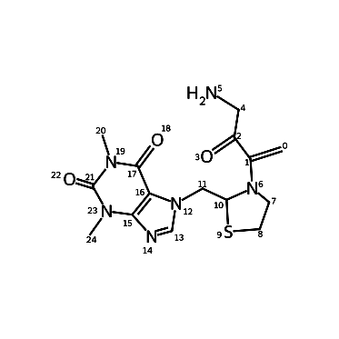 C=C(C(=O)CN)N1CCSC1Cn1cnc2c1c(=O)n(C)c(=O)n2C